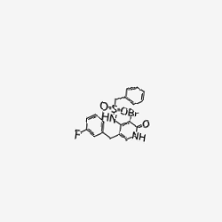 O=c1[nH]cc(Cc2cccc(F)c2)c(NS(=O)(=O)Cc2ccccc2)c1Br